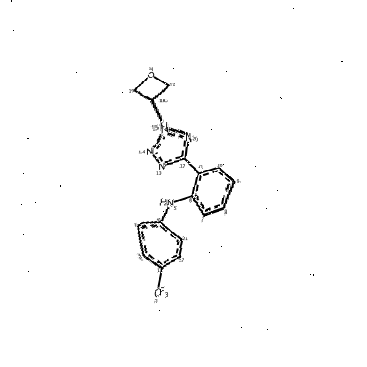 FC(F)(F)c1ccc(Nc2ccccc2-c2nnn(C3COC3)n2)cc1